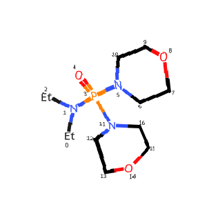 CCN(CC)P(=O)(N1CCOCC1)N1CCOCC1